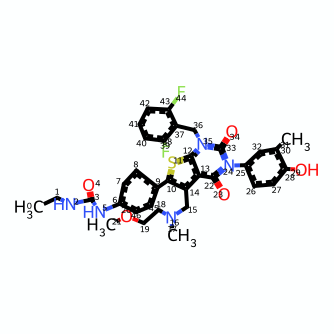 CCNC(=O)Nc1ccc(-c2sc3c(c2CN(C)CCOC)c(=O)n(-c2ccc(O)c(C)c2)c(=O)n3Cc2c(F)cccc2F)cc1